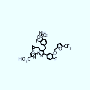 NS(=O)(=O)c1ccc(Cc2c(-c3ccc(F)c(OCc4ccc(C(F)(F)F)o4)c3)nn(-c3nc(C(=O)O)cs3)c2CC2CC2)cc1F